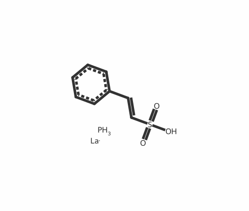 O=S(=O)(O)C=Cc1ccccc1.P.[La]